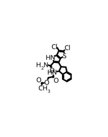 CC(=O)OCC(=O)NC1c2ccccc2CC1c1c(C(N)=O)[nH]c2c(Cl)c(Cl)sc12